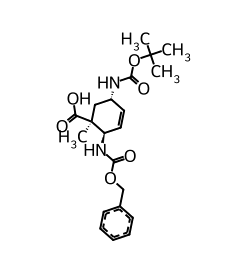 CC(C)(C)OC(=O)N[C@@H]1C=C[C@@H](NC(=O)OCc2ccccc2)[C@@](C)(C(=O)O)C1